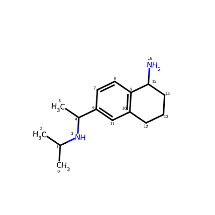 CC(C)NC(C)c1ccc2c(c1)CCCC2N